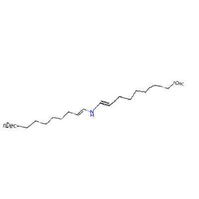 CCCCCCCCCCCCCCCC/C=C/N/C=C/CCCCCCCCCCCCCCCC